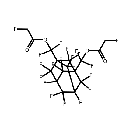 O=C(CF)OC(F)(F)C12C(F)(F)C3(F)C(F)(F)C(F)(C1(F)F)C(F)(F)C(C(F)(F)OC(=O)CF)(C3(F)F)C2(F)F